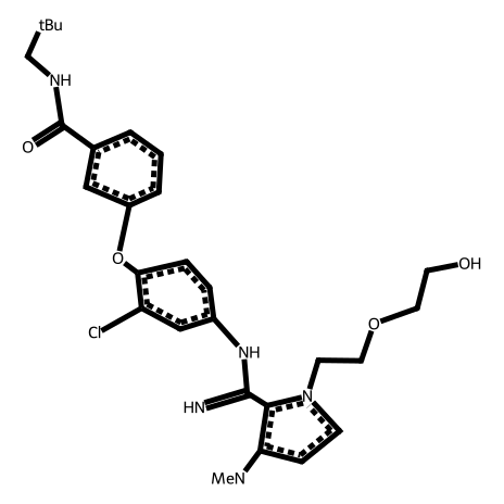 CNc1ccn(CCOCCO)c1C(=N)Nc1ccc(Oc2cccc(C(=O)NCC(C)(C)C)c2)c(Cl)c1